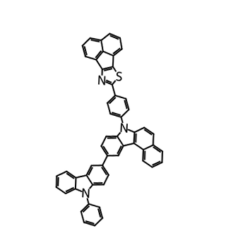 c1ccc(-n2c3ccccc3c3cc(-c4ccc5c(c4)c4c6ccccc6ccc4n5-c4ccc(-c5nc6c(s5)-c5cccc7cccc-6c57)cc4)ccc32)cc1